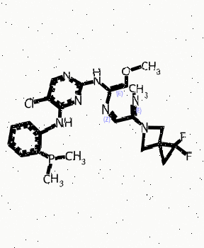 C\N=C(/C=N\C(=C\OC)Nc1ncc(Cl)c(Nc2ccccc2P(C)C)n1)N1CC2(C1)CC2(F)F